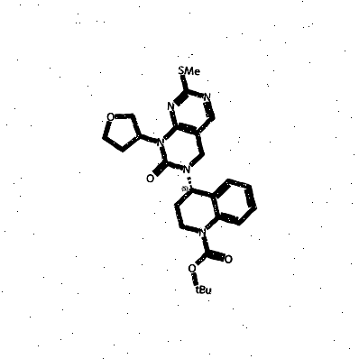 CSc1ncc2c(n1)N(C1CCOC1)C(=O)N([C@H]1CCN(C(=O)OC(C)(C)C)c3ccccc31)C2